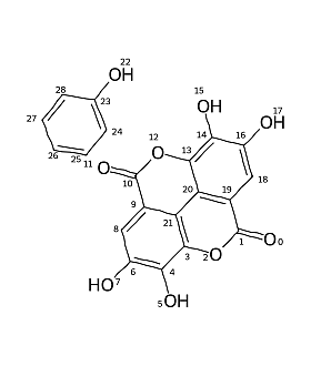 O=c1oc2c(O)c(O)cc3c(=O)oc4c(O)c(O)cc1c4c23.Oc1ccccc1